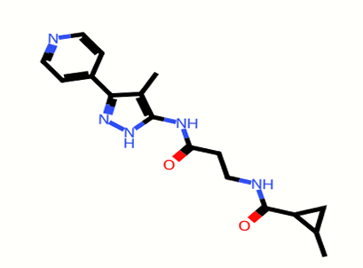 Cc1c(-c2ccncc2)n[nH]c1NC(=O)CCNC(=O)C1CC1C